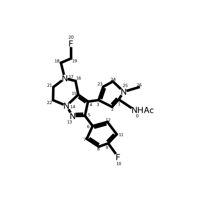 CC(=O)NC1=CC(c2c(-c3ccc(F)cc3)nn3c2CN(CCF)CC3)=CCN1C